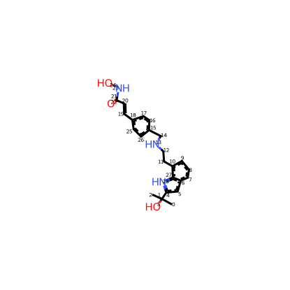 CC(C)(O)c1cc2cccc(CCNCc3ccc(/C=C/C(=O)NO)cc3)c2[nH]1